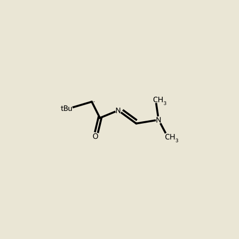 CN(C)C=NC(=O)[CH]C(C)(C)C